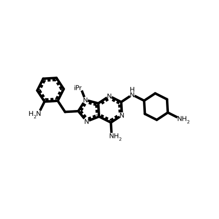 CC(C)n1c(Cc2ccccc2N)nc2c(N)nc(NC3CCC(N)CC3)nc21